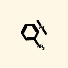 Nc1ccccc1.[CH3][Pd][CH3]